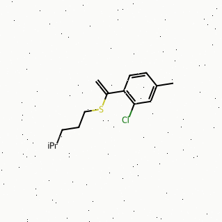 C=C(SCCCC(C)C)c1ccc(C)cc1Cl